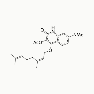 CNc1ccc2c(OCC=C(C)CCC=C(C)C)c(OC(C)=O)c(=O)[nH]c2c1